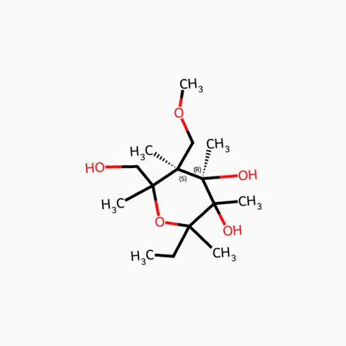 CCC1(C)OC(C)(CO)[C@@](C)(COC)[C@@](C)(O)C1(C)O